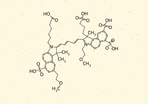 COCCc1cc(S(=O)(=O)O)c2ccc3c(c2c1)C(C)(C)\C(=C/C=C/C=C/C1=[N+](CCOC)c2ccc4c(S(=O)(=O)O)cc(S(=O)(=O)O)cc4c2C1(C)CCCS(=O)(=O)O)N3CCCCCC(=O)O